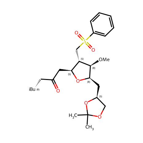 CC[C@@H](C)CC(=O)C[C@@H]1O[C@H](C[C@H]2COC(C)(C)O2)[C@H](OC)[C@H]1CS(=O)(=O)c1ccccc1